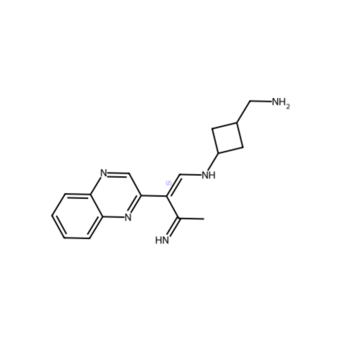 CC(=N)/C(=C\NC1CC(CN)C1)c1cnc2ccccc2n1